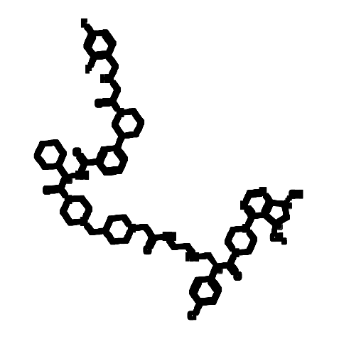 C[C@@H]1C[C@@H](O)c2ncnc(N3CCN(C(=O)[C@H](CNCCNC(=O)CN4CCC(CN5CCN(C(=O)[C@H](NC(=O)c6cccc(C7CCCN(C(=O)CNCc8ccc(F)cc8F)C7)c6)C6CCCCC6)CC5)CC4)c4ccc(Cl)cc4)CC3)c21